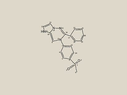 CS(=O)(=O)c1ccc(N2C=C3NC=CN3N=C2c2ccccc2)cc1